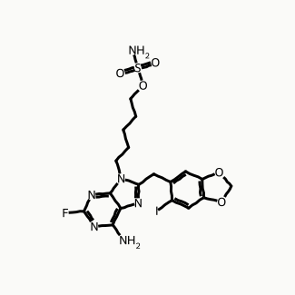 Nc1nc(F)nc2c1nc(Cc1cc3c(cc1I)OCO3)n2CCCCCOS(N)(=O)=O